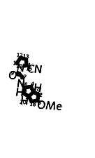 CO[C@H]1C[C@H]2CC(NCC(=O)N3CCC[C@H]3C#N)C[C@H]2C1